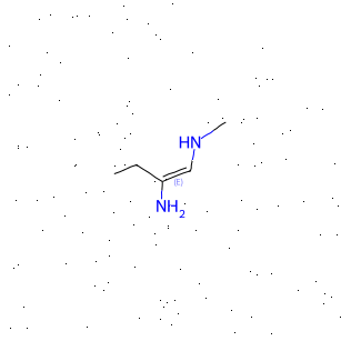 CC/C(N)=C\NC